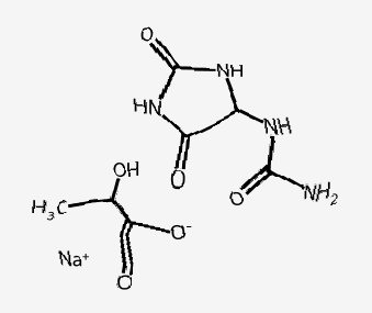 CC(O)C(=O)[O-].NC(=O)NC1NC(=O)NC1=O.[Na+]